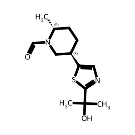 C[C@@H]1CC[C@@H](c2cnc(C(C)(C)O)s2)CN1C=O